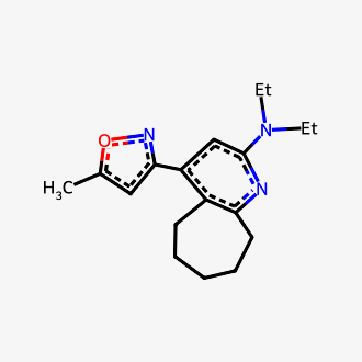 CCN(CC)c1cc(-c2cc(C)on2)c2c(n1)CCCCC2